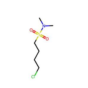 CN(C)S(=O)(=O)CCCCCl